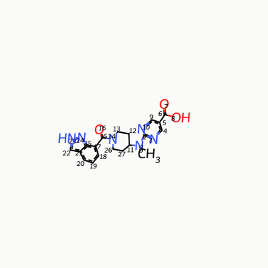 CN(c1ncc(C(=O)O)cn1)C1CCN(C(=O)c2cccc3c[nH]nc23)CC1